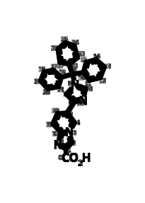 O=C(O)c1cn2cc(-c3cn(C(c4ccccc4)(c4ccccc4)c4ccccc4)cn3)ccc2n1